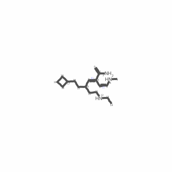 C=C(N)C(/C=C\NC)=C/C(CCNCC)CCC1CCC1